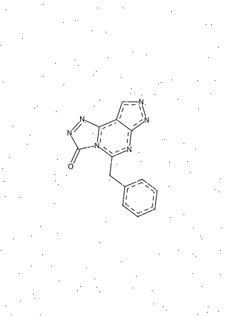 O=C1N=Nc2c3cnnc-3nc(Cc3ccccc3)n21